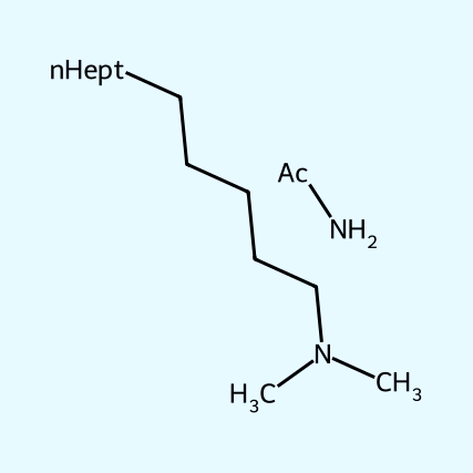 CC(N)=O.CCCCCCCCCCCCN(C)C